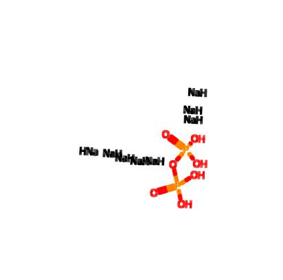 O=P(O)(O)OP(=O)(O)O.[NaH].[NaH].[NaH].[NaH].[NaH].[NaH].[NaH].[NaH]